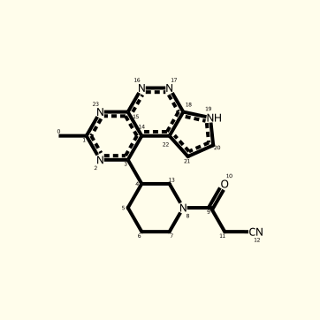 Cc1nc(C2CCCN(C(=O)CC#N)C2)c2c(nnc3[nH]ccc32)n1